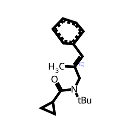 C/C(=C\c1ccccc1)CN(C(=O)C1CC1)C(C)(C)C